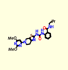 COc1cc(N2CCc3nc(NC(=O)Nc4ccccc4C(=O)NCC(C)C)sc3C2)nc(OC)n1